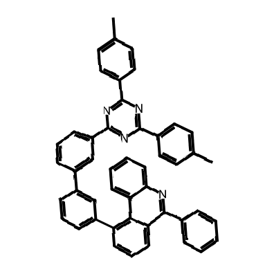 Cc1ccc(-c2nc(-c3ccc(C)cc3)nc(-c3cccc(-c4cccc(-c5cccc6c(-c7ccccc7)nc7ccccc7c56)c4)c3)n2)cc1